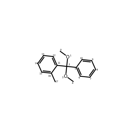 COC(OC)(c1ccccc1)c1ccccc1C